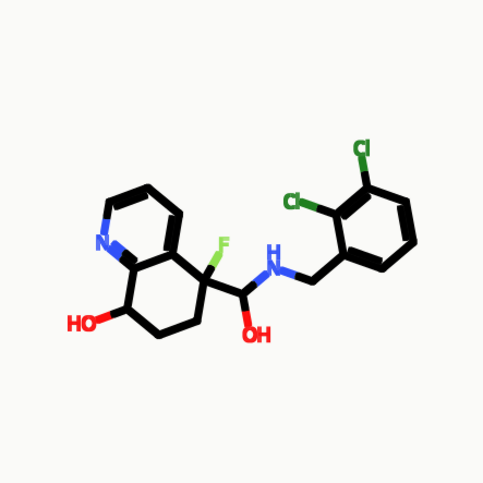 OC1CCC(F)(C(O)NCc2cccc(Cl)c2Cl)c2cccnc21